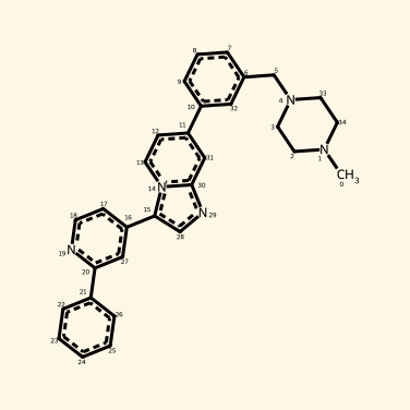 CN1CCN(Cc2cccc(-c3ccn4c(-c5ccnc(-c6ccccc6)c5)cnc4c3)c2)CC1